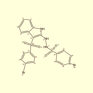 O=S(=O)(NNc1[nH]c2ccccc2c1S(=O)(=O)c1ccc(Br)cc1)c1ccc(Br)cc1